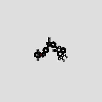 CC(C)CC(NC(=O)c1ccc2[nH]nc(-c3ccc(O[C@@H]4C[C@H]5CC[C@@H](C4)N5C4COC4)cc3)c2c1)c1ccccn1